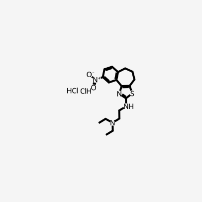 CCN(CC)CCNc1nc2c(s1)CCCc1ccc([N+](=O)[O-])cc1-2.Cl.Cl